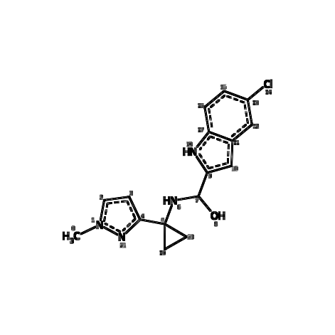 Cn1ccc(C2(NC(O)c3cc4cc(Cl)ccc4[nH]3)CC2)n1